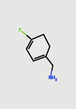 NCC1=CC=C(F)CC1